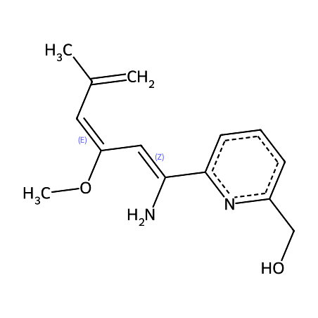 C=C(C)/C=C(\C=C(/N)c1cccc(CO)n1)OC